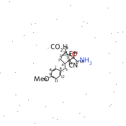 CCC12C(CC(Cc3ccc(OC)cc3)C1(C#N)C(=O)CN)C2C(=O)O